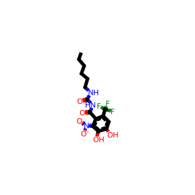 CCCCCCNC(=O)NC(=O)c1c(C(F)(F)F)cc(O)c(O)c1[N+](=O)[O-]